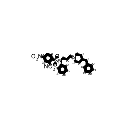 O=[N+]([O-])c1ccc(S(=O)(=O)N(CCCN2CCC(Cc3ccccc3)CC2)c2ccccc2)c([N+](=O)[O-])c1